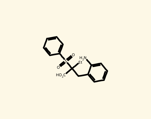 CCC(Cc1ccccc1N)(C(=O)O)S(=O)(=O)c1ccccc1